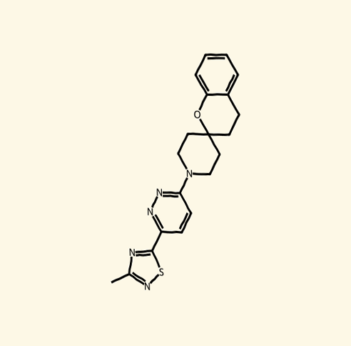 Cc1nsc(-c2ccc(N3CCC4(CCc5ccccc5O4)CC3)nn2)n1